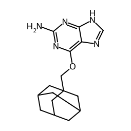 Nc1nc(OCC23CC4CC(CC(C4)C2)C3)c2nc[nH]c2n1